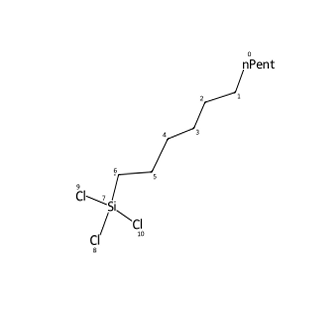 CCCCCCCCCC[CH][Si](Cl)(Cl)Cl